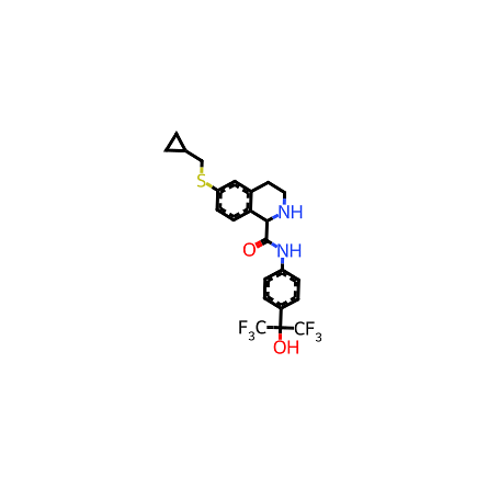 O=C(Nc1ccc(C(O)(C(F)(F)F)C(F)(F)F)cc1)C1NCCc2cc(SCC3CC3)ccc21